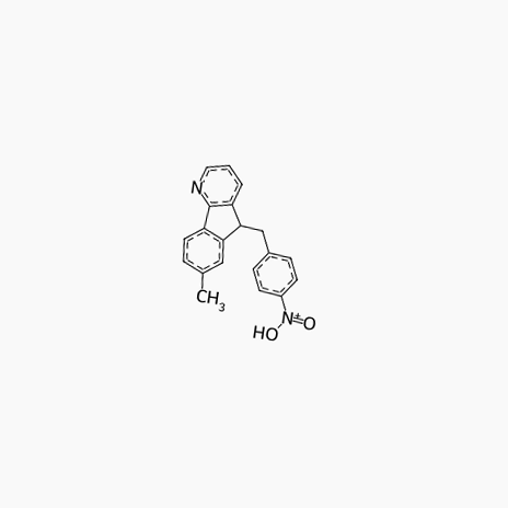 Cc1ccc2c(c1)C(Cc1ccc([N+](=O)O)cc1)c1cccnc1-2